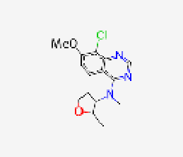 COc1ccc2c(N(C)C3CCOC3C)ncnc2c1Cl